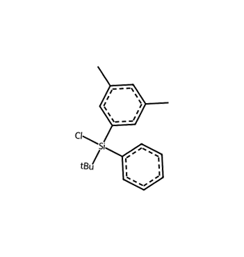 Cc1cc(C)cc([Si](Cl)(c2ccccc2)C(C)(C)C)c1